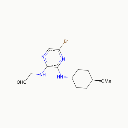 CO[C@H]1CC[C@H](Nc2nc(Br)cnc2NCC=O)CC1